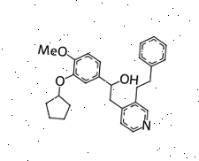 COc1ccc(C(O)Cc2ccncc2CCc2ccccc2)cc1OC1CCCC1